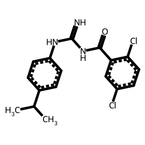 CC(C)c1ccc(NC(=N)NC(=O)c2cc(Cl)ccc2Cl)cc1